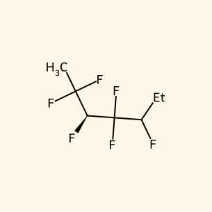 [CH2]CC(F)C(F)(F)[C@@H](F)C(C)(F)F